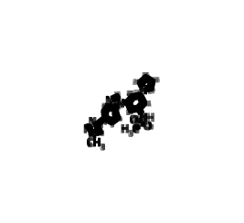 Cn1cc(-c2ccc3c(c2)ncn3-c2cc(NS(C)(=O)=O)cc(-n3cccc3)c2)nn1